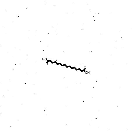 O=C(O)/C=C/CCCCCCCCCCCCC(=O)O